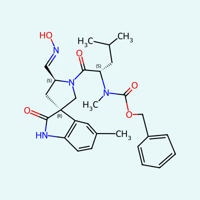 Cc1ccc2c(c1)[C@@]1(C[C@@H](C=NO)N(C(=O)[C@H](CC(C)C)N(C)C(=O)OCc3ccccc3)C1)C(=O)N2